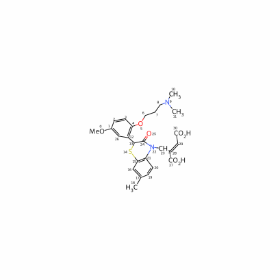 COc1ccc(OCCCN(C)C)c(C2Sc3cc(C)ccc3N(C)C2=O)c1.O=C(O)C=CC(=O)O